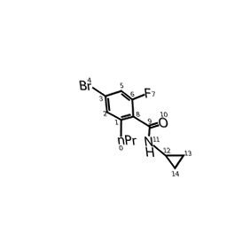 CCCc1cc(Br)cc(F)c1C(=O)NC1CC1